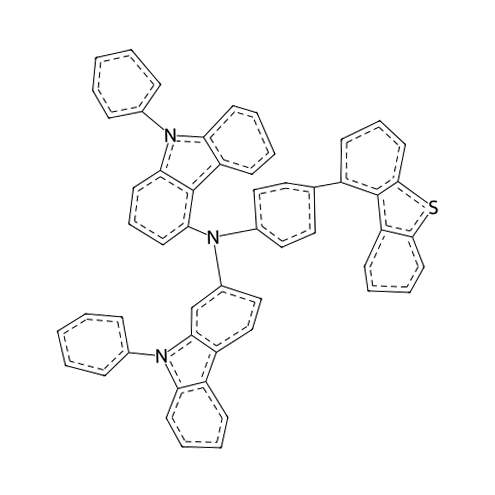 c1ccc(-n2c3ccccc3c3ccc(N(c4ccc(-c5cccc6sc7ccccc7c56)cc4)c4cccc5c4c4ccccc4n5-c4ccccc4)cc32)cc1